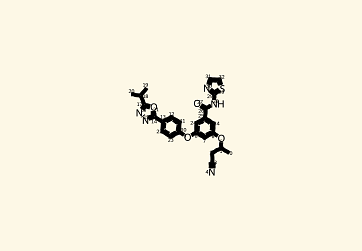 CC(CC#N)Oc1cc(Oc2ccc(-c3nnc(C(C)C)o3)cc2)cc(C(=O)Nc2nccs2)c1